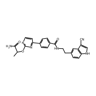 CC(Oc1nccc(-c2ccc(C(=O)NCCc3ccc4[nH]cc(C#N)c4c3)cc2)n1)C(N)=O